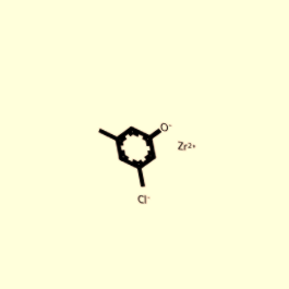 Cc1cc(C)cc([O-])c1.[Cl-].[Zr+2]